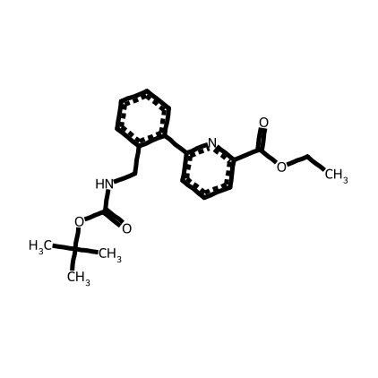 CCOC(=O)c1cccc(-c2ccccc2CNC(=O)OC(C)(C)C)n1